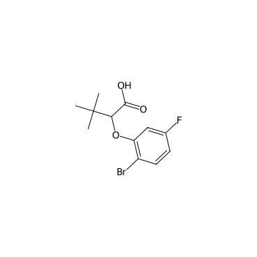 CC(C)(C)C(Oc1cc(F)ccc1Br)C(=O)O